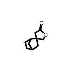 O=C1CC2(CO1)CC1C[CH]C2C1